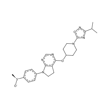 CC(C)c1noc(N2CCC(Oc3ncnc4c3CCN4c3ccc([S@+](C)[O-])cc3)CC2)n1